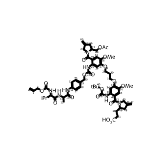 C=CCOC(=O)NC(C(=O)NC(C)C(=O)Nc1ccc(COC(=O)Nc2cc(OCCCOc3cc(NC(=O)OC(C)(C)C)c(C(=O)N4CC(=C)CC4CCC(=O)O)cc3OC)c(OC)cc2C(=O)N2CC(=C)CC2COC(C)=O)cc1)C(C)C